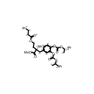 COC(=O)[C@@](N)(CCOC(=O)CCC(C)C)Cc1ccc(OC(=O)O[C@@H](C)C(C)C)c(OC(=O)OC(C)C(C)C)c1